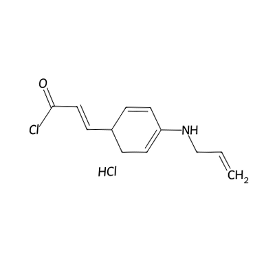 C=CCNC1=CCC(C=CC(=O)Cl)C=C1.Cl